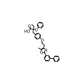 CCC(Cc1ccc(OCCc2nc(-c3cccc(-c4ccccc4)c3)oc2C)cc1)(Oc1ccccc1)C(=O)O